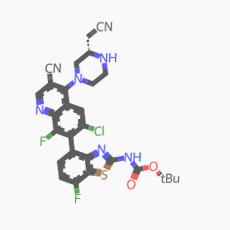 CC(C)(C)OC(=O)Nc1nc2c(-c3c(Cl)cc4c(N5CCN[C@@H](CC#N)C5)c(C#N)cnc4c3F)ccc(F)c2s1